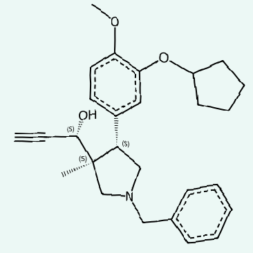 C#C[C@H](O)[C@]1(C)CN(Cc2ccccc2)C[C@H]1c1ccc(OC)c(OC2CCCC2)c1